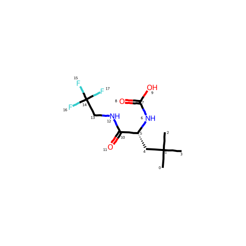 CC(C)(C)C[C@@H](NC(=O)O)C(=O)NCC(F)(F)F